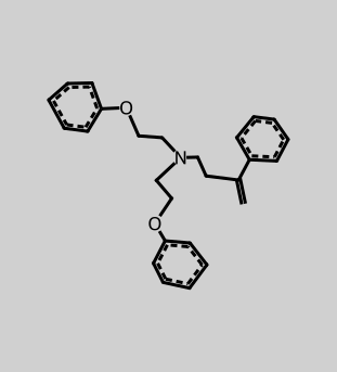 C=C(CCN(CCOc1ccccc1)CCOc1ccccc1)c1ccccc1